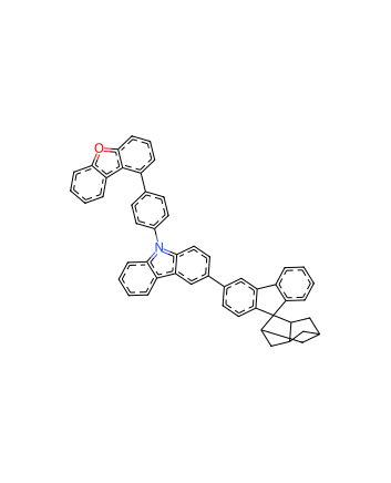 c1ccc2c(c1)-c1cc(-c3ccc4c(c3)c3ccccc3n4-c3ccc(-c4cccc5oc6ccccc6c45)cc3)ccc1C21C2CC3CC(C2)C1C3